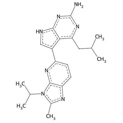 Cc1nc2ccc(-c3c[nH]c4nc(N)nc(CC(C)C)c34)nc2n1C(C)C